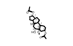 CO[C@]12C[C@@H](OC(C)=O)CC[C@]1(C)C1CC[C@@]3(C)C(CC[C@@H]3OC(C)=O)[C@@H]1C[C@H]2O